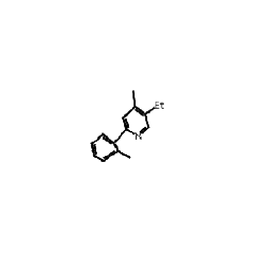 CCc1cnc(-c2ccccc2C)cc1C